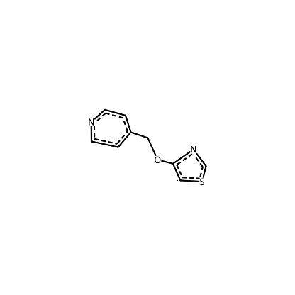 [c]1scnc1OCc1ccncc1